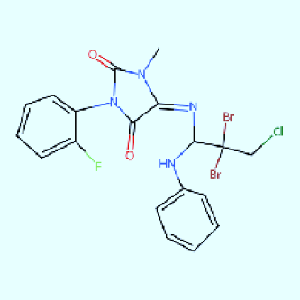 CN1C(=O)N(c2ccccc2F)C(=O)/C1=N\C(Nc1ccccc1)C(Br)(Br)CCl